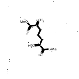 C=C(CCCC(=C)C(=O)OC)C(=O)OC